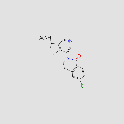 CC(=O)N[C@H]1CCc2c1cncc2N1CCc2cc(Cl)ccc2C1=O